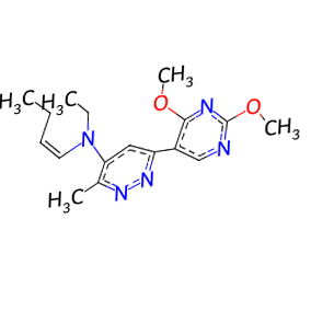 CC/C=C\N(CC)c1cc(-c2cnc(OC)nc2OC)nnc1C